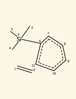 C=C.C[Si](C)(C)c1ccccc1